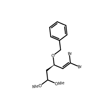 COC(C[C@H](C=C(Br)Br)OCc1ccccc1)OC